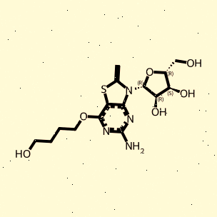 C=C1Sc2c(OCCCCO)nc(N)nc2N1[C@@H]1O[C@H](CO)[C@@H](O)[C@H]1O